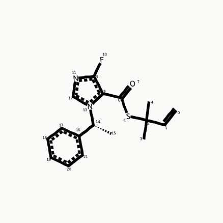 C=CC(C)(C)SC(=O)c1c(F)ncn1[C@H](C)c1ccccc1